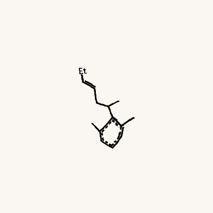 CCC=CCC(C)c1c(C)cccc1C